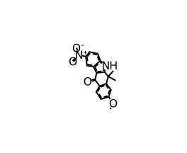 COc1ccc2c(c1)C(C)(C)c1[nH]c3ccc([N+](=O)[O-])cc3c1C2=O